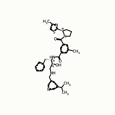 Cc1cc(C(=O)N[C@@H](Cc2ccccc2)[C@@H](O)CNCc2cncc(C(C)C)c2)cc(C(=O)N2CCC[C@@H]2c2nc(C)cs2)c1